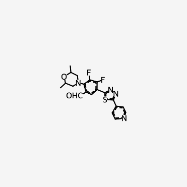 CC1CN(c2c(C=O)cc(-c3nnc(-c4ccncc4)s3)c(F)c2F)CC(C)O1